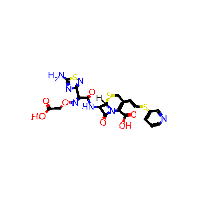 Nc1nc(C(=NOCC(=O)O)C(=O)NC2C(=O)N3C(C(=O)O)=C(C=CSc4cccnc4)CS[C@@H]23)ns1